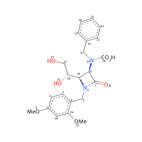 COc1ccc(CN2C(=O)[C@H](N(Cc3ccccc3)C(=O)O)[C@@H]2[C@H](O)CO)c(OC)c1